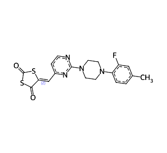 Cc1ccc(N2CCN(c3nccc(/C=C4\SC(=O)SC4=O)n3)CC2)c(F)c1